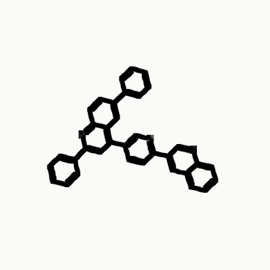 c1ccc(-c2ccc3nc(-c4ccccc4)cc(-c4ccc(-c5cnc6ccccc6c5)nc4)c3c2)cc1